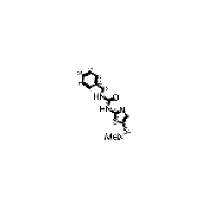 CNSc1cnc(NC(=O)NCc2ccccc2)s1